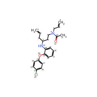 C=CCC(CCN(CC=C)C(C)=O)Nc1ccccc1Oc1ccc(Cl)cc1